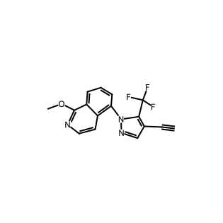 C#Cc1cnn(-c2cccc3c(OC)nccc23)c1C(F)(F)F